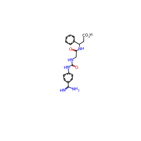 N=C(N)c1ccc(NC(=O)NCC(=O)NC(CC(=O)O)c2ccccc2)cc1